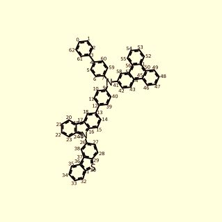 c1ccc(-c2ccc(N(c3ccc(-c4ccc5c(c4)c4ccccc4n5-c4ccc5sc6ccccc6c5c4)cc3)c3ccc4c5ccccc5c5ccccc5c4c3)cc2)cc1